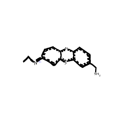 CC/N=c1\ccc2nc3ccc(CN)cc3sc-2c1